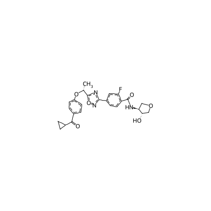 C[C@@H](Oc1ccc(C(=O)C2CC2)cc1)c1nc(-c2ccc(C(=O)N[C@H]3COC[C@@H]3O)c(F)c2)no1